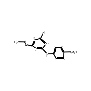 O=C(O)c1ccc(Nc2nc(Cl)nc(OCC(F)(F)F)n2)cc1